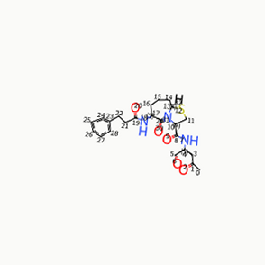 CC(=O)C[C@@H](C=O)NC(=O)[C@@H]1CS[C@@H]2CCC[C@H](NC(=O)CCc3ccccc3)C(=O)N21